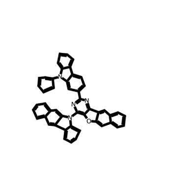 c1ccc(-n2c3ccccc3c3ccc(-c4nc(-n5c6ccccc6c6cc7ccccc7cc65)c5oc6cc7ccccc7cc6c5n4)cc32)cc1